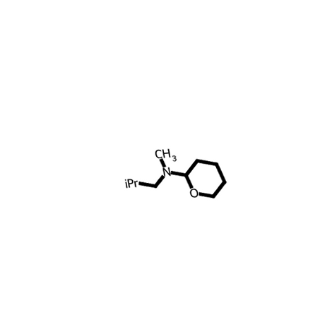 CC(C)CN(C)C1CCCCO1